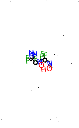 Cn1cnnc1[C@@H](F)C1(c2cccc(N3Cc4c(cc(CN5CC(C)(O)C5)cc4C(F)(F)F)C3=O)c2)CC(F)(F)C1